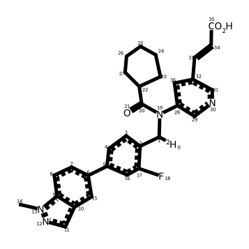 [2H]C(c1ccc(-c2ccc3c(cnn3C)c2)cc1F)N(C(=O)C1CCCCC1)c1cncc(/C=C/C(=O)O)c1